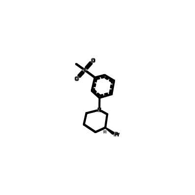 CC(C)[C@H]1CCCN(c2cccc(S(C)(=O)=O)c2)C1